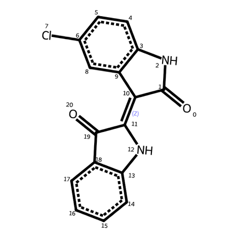 O=C1Nc2ccc(Cl)cc2/C1=C1/Nc2ccccc2C1=O